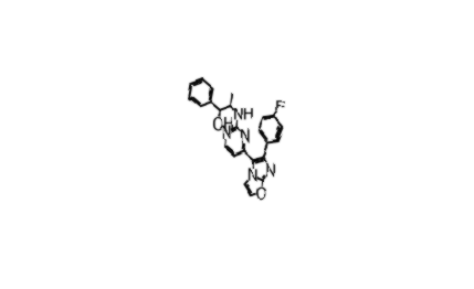 C[C@@H](Nc1nccc(-c2c(-c3ccc(F)cc3)nc3occn23)n1)[C@@H](O)c1ccccc1